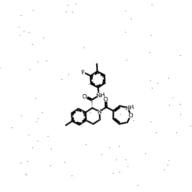 Cc1ccc2c(c1)CCN(C(=O)C1=CNOCC=C1)[C@H]2C(=O)Nc1ccc(C)c(F)c1